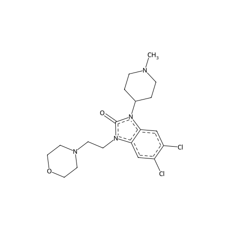 CN1CCC(n2c(=O)n(CCN3CCOCC3)c3cc(Cl)c(Cl)cc32)CC1